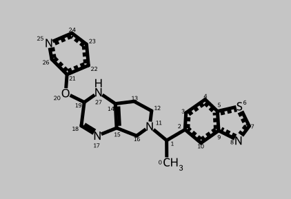 CC(c1ccc2scnc2c1)N1CCC2=C(C1)N=CC(Oc1cccnc1)N2